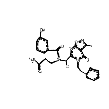 CCC(c1nc2onc(C)c2c(=O)n1Cc1ccccc1)N(CCC(N)=O)C(=O)c1cccc(C#N)c1